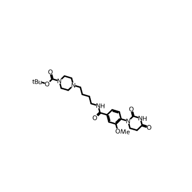 COc1cc(C(=O)NCCCCN2CCN(C(=O)OC(C)(C)C)CC2)ccc1N1CCC(=O)NC1=O